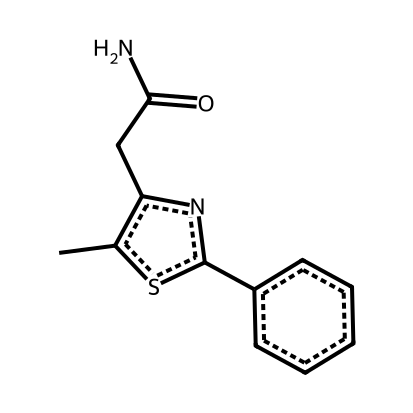 Cc1sc(-c2ccccc2)nc1CC(N)=O